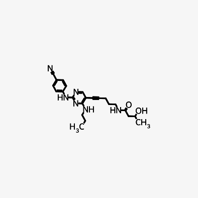 CCCNc1nc(Nc2ccc(C#N)cc2)ncc1C#CCCCNC(=O)CC(C)O